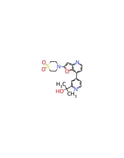 CC(C)(O)c1cc(-c2ccnc3cc(N4CCS(=O)(=O)CC4)oc23)ccn1